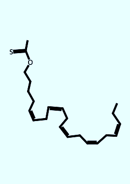 CC/C=C\C/C=C\C/C=C\C/C=C\C/C=C\CCCCOC(C)=S